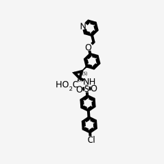 O=C(O)[C@]1(NS(=O)(=O)c2ccc(-c3ccc(Cl)cc3)cc2)C[C@H]1c1cccc(OCc2cccnc2)c1